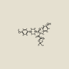 COc1ccc(N2CCN(C(=O)C(Cc3ccc(O)cc3)N(C)C(=O)OC(C)(C)C)CC2)cc1